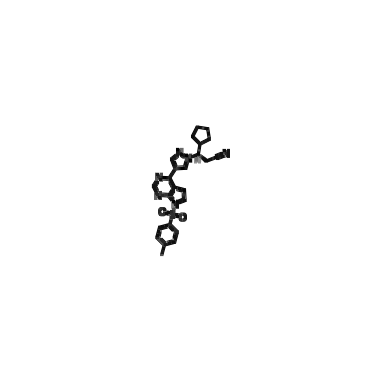 Cc1ccc(S(=O)(=O)n2ccc3c(-c4cnn([C@H](CC#N)C5CCCC5)c4)ncnc32)cc1